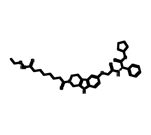 CCONC(=O)CCCCCCC(=O)N1CCc2c([nH]c3ccc(OCC(=O)N[C@H](C(=O)OC4CCCC4)c4ccccc4)cc23)C1